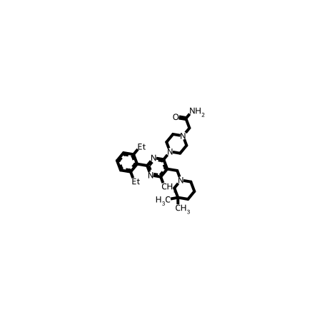 CCc1cccc(CC)c1-c1nc(C)c(CN2CCCC(C)(C)C2)c(N2CCN(CC(N)=O)CC2)n1